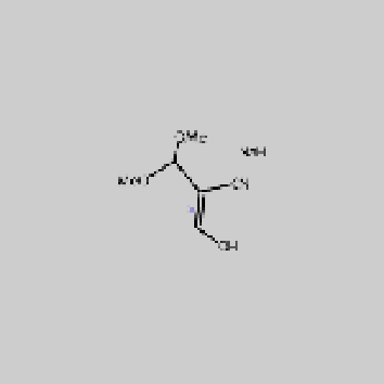 COC(OC)/C(C#N)=C/O.[NaH]